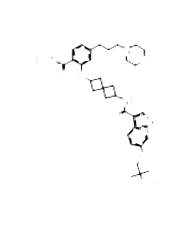 CC(C)(O)COc1ccc2c(C(=O)NC3CC4(C3)CC(Oc3cc(CCCN5CCOCC5)ccc3C(N)=O)C4)cnn2c1